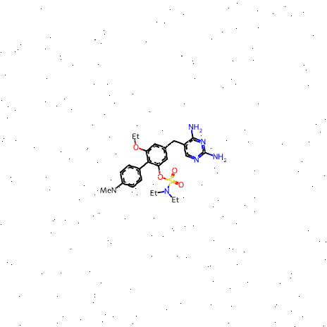 CCOc1cc(Cc2cnc(N)nc2N)cc(OS(=O)(=O)N(CC)CC)c1-c1ccc(NC)cc1